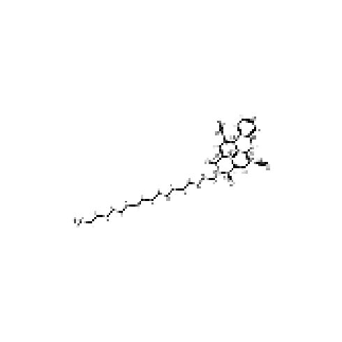 CCCCCCCCCCCCCCCCCCn1c(=O)c2cc(C#N)c3sc4ccccc4c4c(C#N)cc(c1=O)c2c34